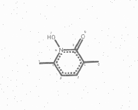 Cc1ccc(C)n(O)c1=O